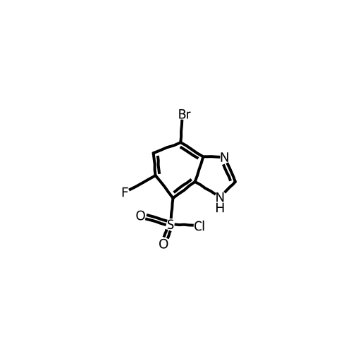 O=S(=O)(Cl)c1c(F)cc(Br)c2nc[nH]c12